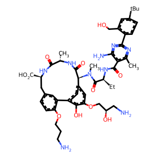 CC[C@H](NC(=O)c1c(C)nc(-c2ccc(C(C)(C)C)cc2CO)nc1N)C(=O)N(C)[C@@H]1C(=O)N[C@@H](C)C(=O)N[C@H](C(=O)O)Cc2ccc(OCCCN)c(c2)-c2cc1cc(OC[C@H](O)CN)c2O